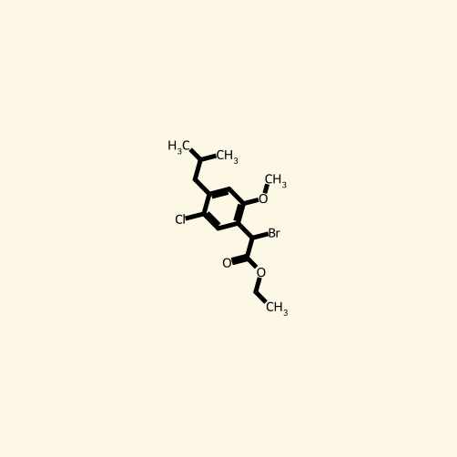 CCOC(=O)C(Br)c1cc(Cl)c(CC(C)C)cc1OC